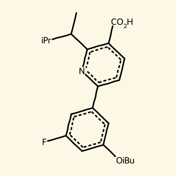 CC(C)COc1cc(F)cc(-c2ccc(C(=O)O)c(C(C)C(C)C)n2)c1